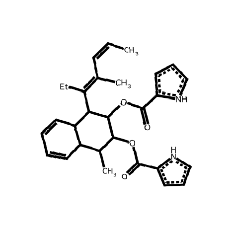 C/C=C\C(C)=C(/CC)C1C2C=CC=CC2C(C)C(OC(=O)c2ccc[nH]2)C1OC(=O)c1ccc[nH]1